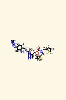 CCCC[C@@H](COC(=O)N(Cc1cccs1)Cc1cccs1)NC(=O)NCc1ccc(N=[N+]=[N-])cc1